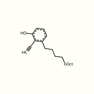 C#Cc1c(O)cccc1CCCCCCCCCCCC